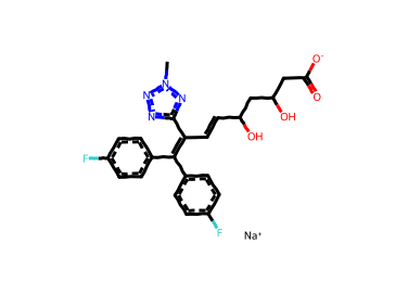 Cn1nnc(C(C=CC(O)CC(O)CC(=O)[O-])=C(c2ccc(F)cc2)c2ccc(F)cc2)n1.[Na+]